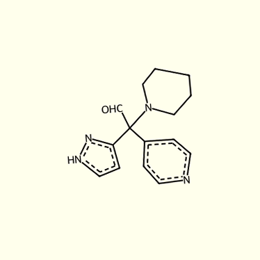 O=CC(c1ccncc1)(c1cc[nH]n1)N1CCCCC1